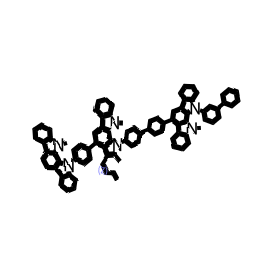 C=C/C=C\c1c(C)n(-c2ccc(-c3ccc(-c4cc5c6ccccc6n(-c6cccc(-c7ccccc7)c6)c5c5c4c4ccccc4n5C)cc3)cc2)c2c1c(-c1ccc(-n3c4ccccc4c4ccc5c6ccccc6n(C)c5c43)cc1)cc1c3ccccc3n(C)c12